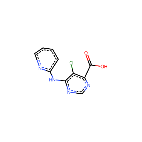 O=C(O)c1ncnc(Nc2ccccn2)c1Cl